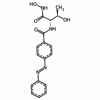 C[C@@H](O)[C@H](NC(=O)c1ccc(/N=N/c2ccccc2)cc1)C(=O)NO